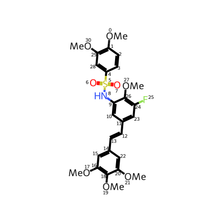 COc1ccc(S(=O)(=O)Nc2cc(C=Cc3cc(OC)c(OC)c(OC)c3)cc(F)c2OC)cc1OC